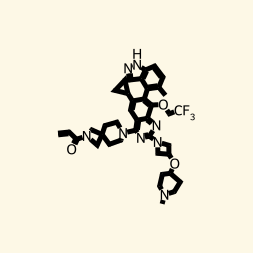 C=CC(=O)N1CC2(CCN(c3nc(N4CC(OC5CCN(C)CC5)C4)nc4c(OCC(F)(F)F)c(-c5c(C)ccc6[nH]ncc56)c(C5CC5)cc34)CC2)C1